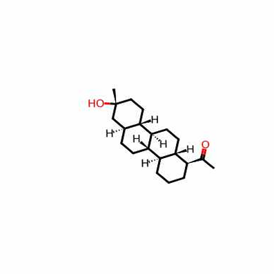 CC(=O)[C@H]1CCC[C@H]2[C@@H]3CC[C@H]4C[C@](C)(O)CC[C@@H]4[C@H]3CC[C@@H]21